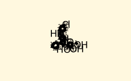 OC[C@H]1O[C@@H](n2cc(-c3ccccc3)c3c2N=CN(Nc2ccc(Cl)cc2)C3)[C@H](O)[C@@H]1O